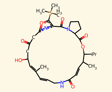 CC1=C\C(O)CC(=O)Cc2nc(c(S(C)(C)C)o2)C(=O)N2CCCC2C(=O)OC(C(C)C)C(C)/C=C/C(=O)NC\C=C\1